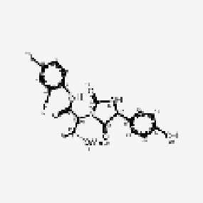 CO[C@H](C)[C@@H](C(=O)Nc1ccc(I)cc1F)N1C(=O)NC(c2ccc(O)cc2)C1=O